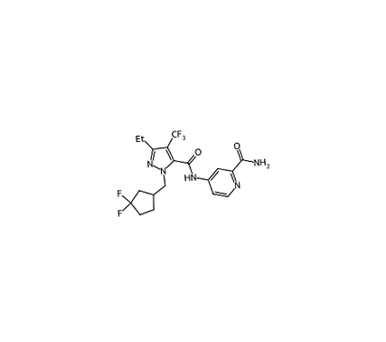 CCc1nn(CC2CCC(F)(F)C2)c(C(=O)Nc2ccnc(C(N)=O)c2)c1C(F)(F)F